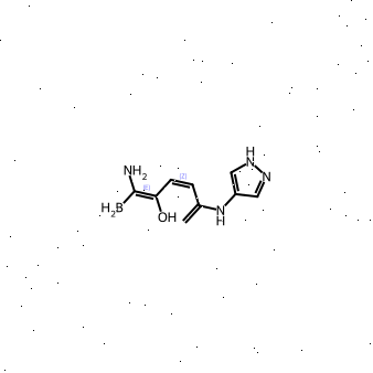 B/C(N)=C(O)/C=C\C(=C)Nc1cn[nH]c1